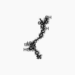 C=CCn1c(=O)c2cnc(Nc3ccc(N4CCN(CCCCOCC(=O)N[C@H](C(=O)N5CC(O)CC5C(=O)NCc5ccc(-c6scnc6C)cc5)C(C)(C)C)CC4)cc3)nc2n1-c1cccc(C(C)(C)O)n1